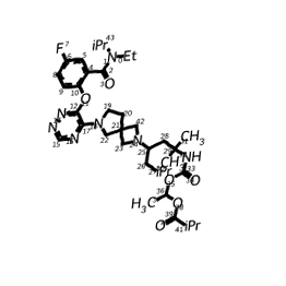 CCN(C(=O)c1cc(F)ccc1Oc1nncnc1N1CCC2(C1)CN(C(CC(C)C)CC(C)(C)NC(=O)OC(C)OC(=O)C(C)C)C2)C(C)C